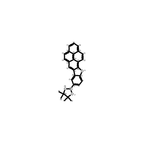 CC1(C)OB(c2ccc3oc4c(cc5ccc6cccc7ccc4c5c67)c3c2)OC1(C)C